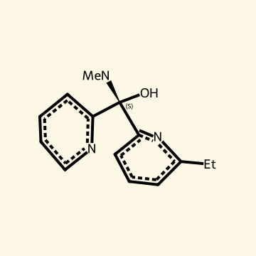 CCc1cccc([C@](O)(NC)c2ccccn2)n1